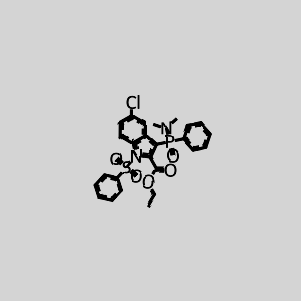 CCOC(=O)c1c(P(=O)(c2ccccc2)N(C)C)c2cc(Cl)ccc2n1S(=O)(=O)c1ccccc1